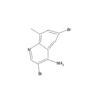 Cc1cc(Br)cc2c(N)c(Br)cnc12